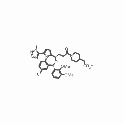 COc1cccc([C@H]2O[C@H](CCC(=O)N3CCC(CC(=O)O)CC3)c3ccc(-c4nnnn4C)n3-c3ccc(Cl)cc32)c1OC